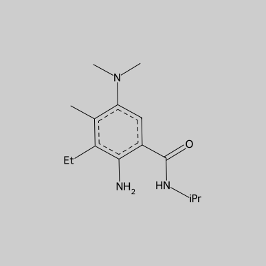 CCc1c(C)c(N(C)C)cc(C(=O)NC(C)C)c1N